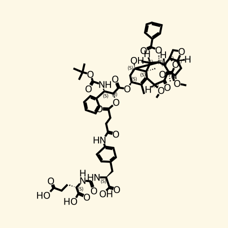 CO[C@H]1C(=O)[C@]2(C)[C@@H](OC)C[C@H]3OC[C@@]3(OC(C)=O)[C@H]2[C@]2(OC(=O)c3ccccc3)[C@@H](C)[C@@]3(C)C1=C(C)[C@@H](OC(=O)[C@H](OC(=O)CCC(=O)Nc1ccc(C[C@H](NC(=O)N[C@@H](CCC(=O)O)C(=O)O)C(=O)O)cc1)[C@@H](NC(=O)OC(C)(C)C)c1ccccc1)C[C@@]23O